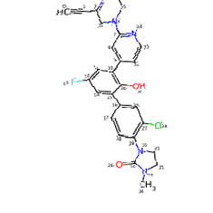 C#CC1=NCCN(c2cc(-c3cc(F)cc(-c4ccc(N5CCN(C)C5=O)c(Cl)c4)c3O)ccn2)C1